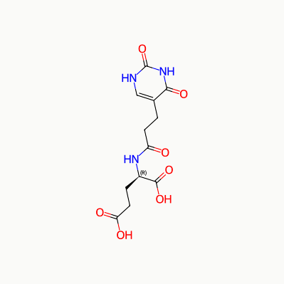 O=C(O)CC[C@@H](NC(=O)CCc1c[nH]c(=O)[nH]c1=O)C(=O)O